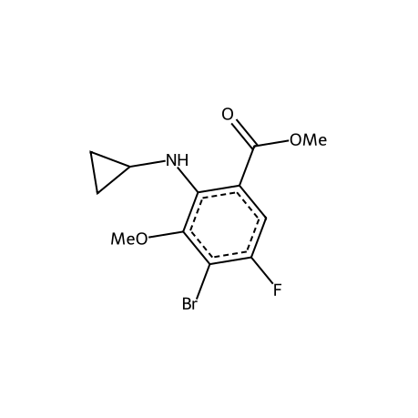 COC(=O)c1cc(F)c(Br)c(OC)c1NC1CC1